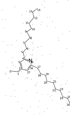 C[CH]c1cc(CCCCCCCCCC)nc(CCCCCCCCCC)c1